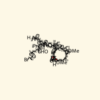 C=C(CBr)C(=O)OC(C)(C)CCCC(C=O)N[C@H](C(=O)N[C@@H](CCCNC(N)=O)C(=O)Nc1ccc(C(=O)N(C)[C@@H](C)C(=O)O[C@H]2CC(=O)N(C)c3cc(cc(OC)c3Cl)C/C(C)=C/C=C/[C@@H](OC)[C@@]3(O)C[C@H](OC(=O)N3)[C@@H](C)[C@@H]3O[C@@]23C)cc1)C(C)C